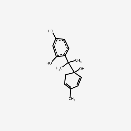 CC1=CCC(O)(C(C)(C)c2ccc(O)cc2O)C=C1